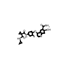 NC(=O)c1cc2c(Oc3ccc(NC(=O)C4(C(=O)NC5CC5)CC4)cc3F)ccnc2cc1O